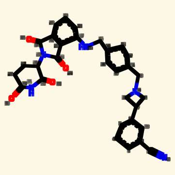 N#Cc1cccc(C2CN(Cc3ccc(CNc4cccc5c4C(=O)N(C4CCC(=O)NC4=O)C5=O)cc3)C2)c1